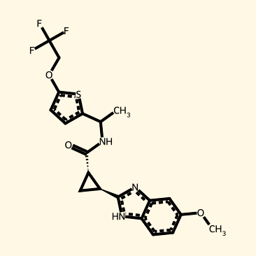 COc1ccc2[nH]c([C@H]3C[C@@H]3C(=O)NC(C)c3ccc(OCC(F)(F)F)s3)nc2c1